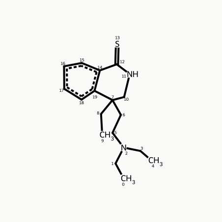 CCN(CC)CCC1(CC)CNC(=S)c2ccccc21